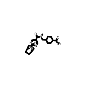 CC(C)C(=O)C1CCC(CN(C)C(=O)c2cnc(N3C4CCC3CN(C(C)C)C4)nc2)CC1